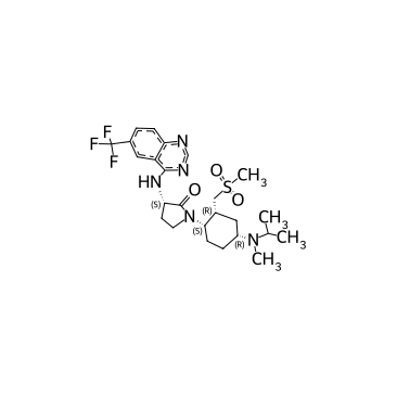 CC(C)N(C)[C@@H]1CC[C@H](N2CC[C@H](Nc3ncnc4ccc(C(F)(F)F)cc34)C2=O)[C@H](CS(C)(=O)=O)C1